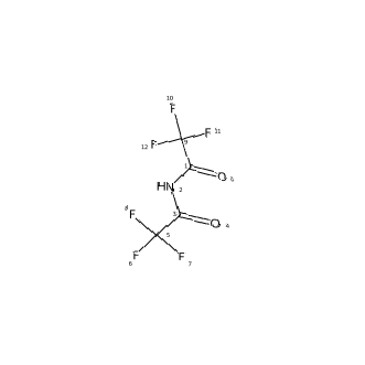 O=C(NC(=O)C(F)(F)F)C(F)(F)F